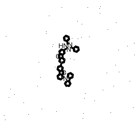 c1ccc(C2=NC(c3ccccc3)NC(c3ccc4oc5cc(-c6ccc7c(c6)oc6c(-n8c9ccccc9c9ccccc98)cccc67)ccc5c4c3)=N2)cc1